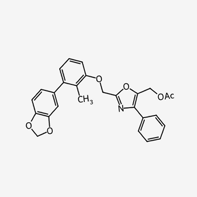 CC(=O)OCc1oc(COc2cccc(-c3ccc4c(c3)OCO4)c2C)nc1-c1ccccc1